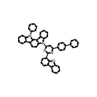 c1ccc(-c2ccc(-c3cc(-n4c5ccccc5c5c4ccc4c6ccccc6n(-c6ccccc6)c45)nc(-c4cccc5c4oc4ccccc45)n3)cc2)cc1